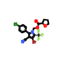 N#Cc1c(Br)c(C(F)(F)F)n(COC(=O)C2CCCO2)c1-c1ccc(Cl)cc1